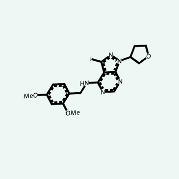 COc1ccc(CNc2ncnc3c2c(I)nn3C2CCOC2)c(OC)c1